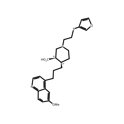 COc1ccc2nccc(CCC[C@@H]3CCN(CCSc4ccoc4)C[C@@H]3C(=O)O)c2c1